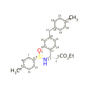 CCOC(=O)C[C@H](N[S@+]([O-])c1ccc(C)cc1)c1ccc(Cc2ccc(C)cc2)cc1